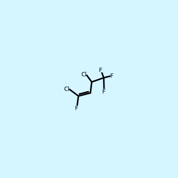 FC(Cl)=CC(Cl)C(F)(F)F